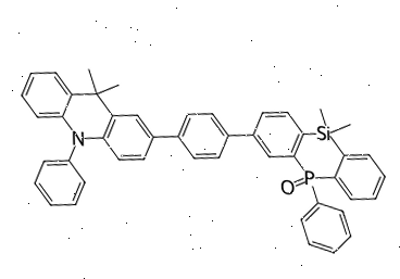 CC1(C)c2ccccc2N(c2ccccc2)c2ccc(-c3ccc(-c4ccc5c(c4)P(=O)(c4ccccc4)c4ccccc4[Si]5(C)C)cc3)cc21